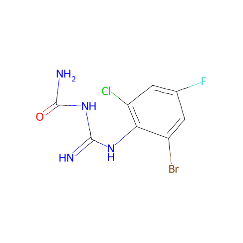 N=C(NC(N)=O)Nc1c(Cl)cc(F)cc1Br